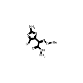 CCCCON=C(C(=O)NN)c1nc(N)sc1Br